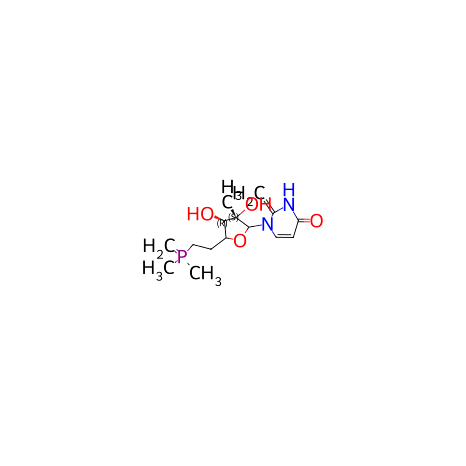 C=C1NC(=O)C=CN1C1OC(CCP(=C)(C)C)[C@@H](O)[C@]1(C)O